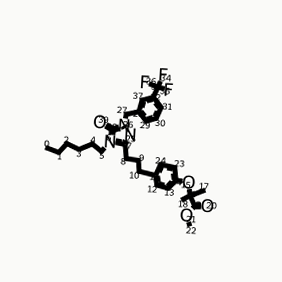 CCCCCCn1c(CCCc2ccc(OC(C)(C)C(=O)OC)cc2)nn(Cc2cccc(C(F)(F)F)c2)c1=O